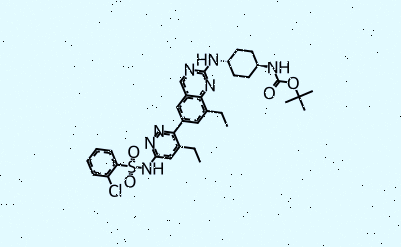 CCc1cc(NS(=O)(=O)c2ccccc2Cl)nnc1-c1cc(CC)c2nc(N[C@H]3CC[C@H](NC(=O)OC(C)(C)C)CC3)ncc2c1